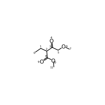 CCC(C(=O)COC)C(=O)OC